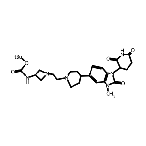 Cn1c(=O)n(C2CCC(=O)NC2=O)c2ccc(C3CCN(CCN4CC(NC(=O)OC(C)(C)C)C4)CC3)cc21